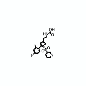 Cc1cc(F)ccc1-c1cc(CCNC(=O)O)cn1S(=O)(=O)c1cccnc1